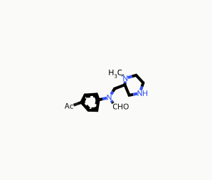 CC(=O)c1ccc(N(C=O)CC2CNCCN2C)cc1